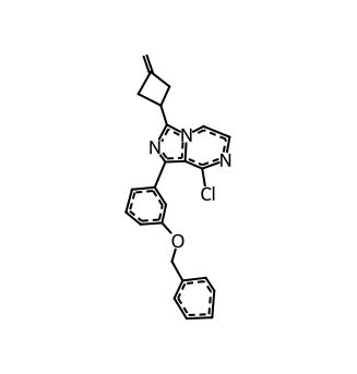 C=C1CC(c2nc(-c3cccc(OCc4ccccc4)c3)c3c(Cl)nccn23)C1